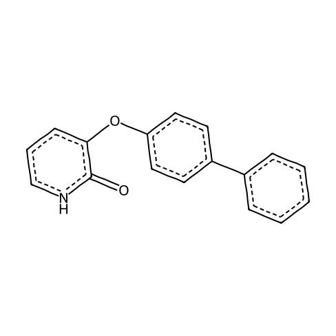 O=c1[nH]cccc1Oc1ccc(-c2ccccc2)cc1